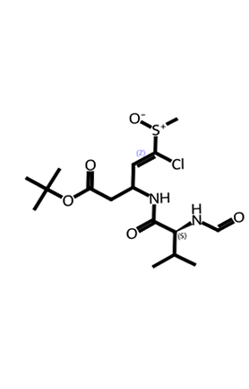 CC(C)[C@H](NC=O)C(=O)NC(/C=C(\Cl)[S+](C)[O-])CC(=O)OC(C)(C)C